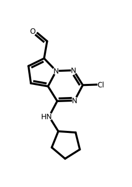 O=Cc1ccc2c(NC3CCCC3)nc(Cl)nn12